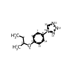 CCC(C)Oc1ccc(-n2cnnn2)cc1